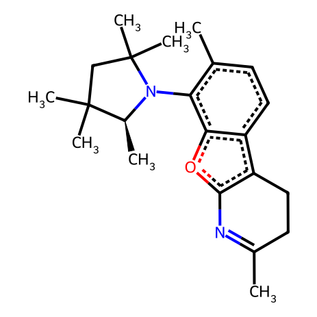 CC1=Nc2oc3c(N4[C@@H](C)C(C)(C)CC4(C)C)c(C)ccc3c2CC1